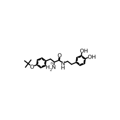 CC(C)(C)Oc1ccc(C[C@H](N)C(=O)NCCc2ccc(O)c(O)c2)cc1